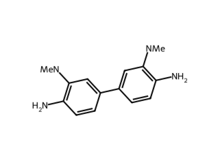 CNc1cc(-c2ccc(N)c(NC)c2)ccc1N